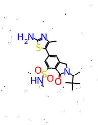 CNS(=O)(=O)c1cc(-c2sc(N)nc2C)cc2c1C(=O)N([C@@H](C)C(C)(C)C)C2